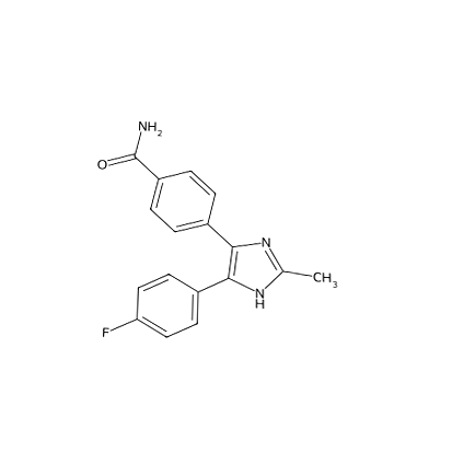 Cc1nc(-c2ccc(C(N)=O)cc2)c(-c2ccc(F)cc2)[nH]1